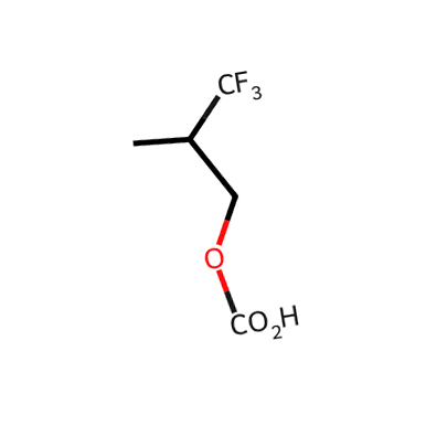 CC(COC(=O)O)C(F)(F)F